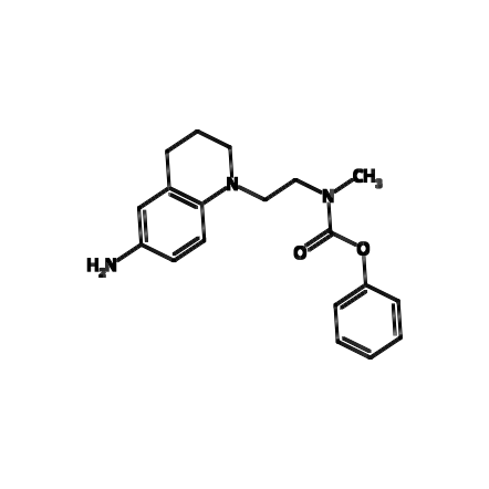 CN(CCN1CCCc2cc(N)ccc21)C(=O)Oc1ccccc1